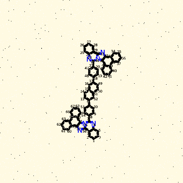 c1ccc2c(c1)nc(-c1ccc(-c3ccc4cc(-c5ccc(-c6nc7ccccc7c7nc8c9ccccc9c9ccccc9c8n67)cc5)ccc4c3)cc1)n1c2nc2c3ccccc3c3ccccc3c21